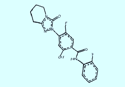 O=C(Nc1ccccc1F)c1cc(F)c(-n2nc3n(c2=O)CCCC3)cc1O